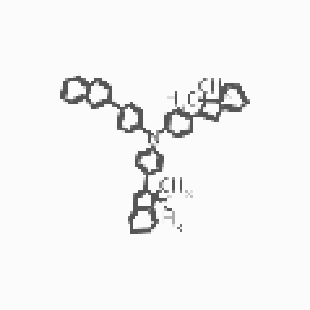 CC1(C)C(c2ccc(N(c3ccc(C4=Cc5ccccc5C4(C)C)cc3)c3ccc(-c4ccc5ccccc5c4)cc3)cc2)=Cc2ccccc21